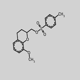 COc1cccc2c1OC(COS(=O)(=O)c1ccc(C)cc1)CC2